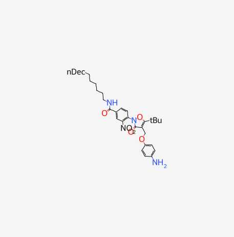 CCCCCCCCCCCCCCCCNC(=O)c1ccc(-n2oc(C(C)(C)C)c(COc3ccc(N)cc3)c2=O)c([N+](=O)[O-])c1